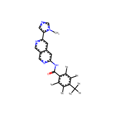 [2H]c1c([2H])c(C([2H])([2H])[2H])c([2H])c([2H])c1C(=O)Nc1cc2cc(-c3cncn3C)ncc2cn1